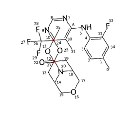 Cc1ccc(Nc2ncnc(OC3CC4COCC(C3)N4C(=O)OC(C)C(F)(F)F)c2C)c(F)c1